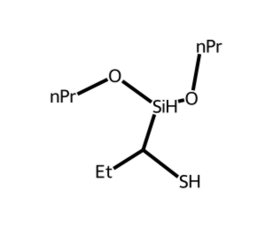 CCCO[SiH](OCCC)C(S)CC